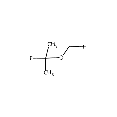 CC(C)(F)OCF